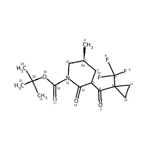 C[C@H]1CC(C(=O)C2(C(F)(F)F)CC2)C(=O)N(C(=O)OC(C)(C)C)C1